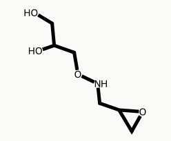 OCC(O)CONCC1CO1